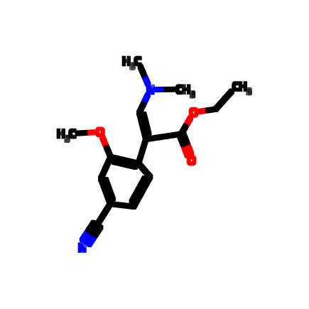 CCOC(=O)/C(=C\N(C)C)c1ccc(C#N)cc1OC